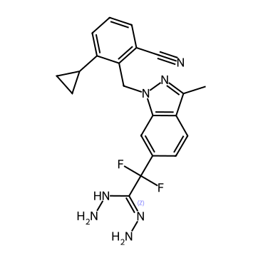 Cc1nn(Cc2c(C#N)cccc2C2CC2)c2cc(C(F)(F)/C(=N/N)NN)ccc12